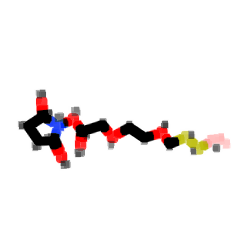 BSSCOCCOCC(=O)ON1C(=O)CCC1=O